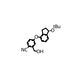 CC(C)(C)O[C@@H]1CCc2c(Oc3ccc(C#N)c(CO)c3)cccc21